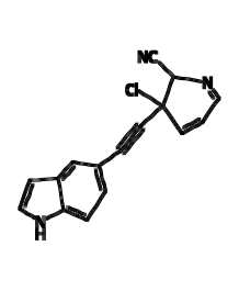 N#CC1N=CC=CC1(Cl)C#Cc1ccc2[nH]ccc2c1